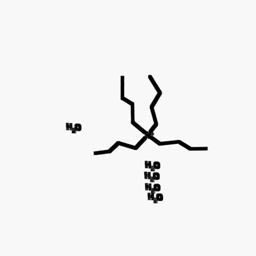 CCCC[N+](CCCC)(CCCC)CCCC.O.O.O.O.O